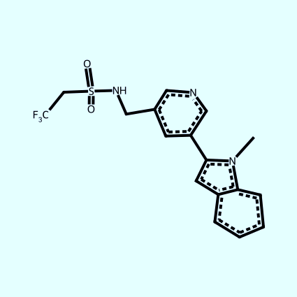 Cn1c(-c2cncc(CNS(=O)(=O)CC(F)(F)F)c2)cc2ccccc21